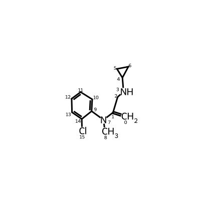 C=C(CNC1CC1)N(C)c1ccccc1Cl